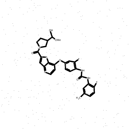 COC(O)C1CCN(C(=O)c2cc3nccc(Oc4ccc(NC(=O)Nc5cc(C)ccc5F)c(F)c4)c3s2)C1